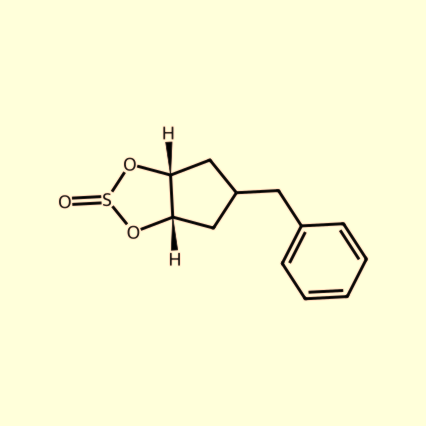 O=S1O[C@H]2CC(Cc3ccccc3)C[C@H]2O1